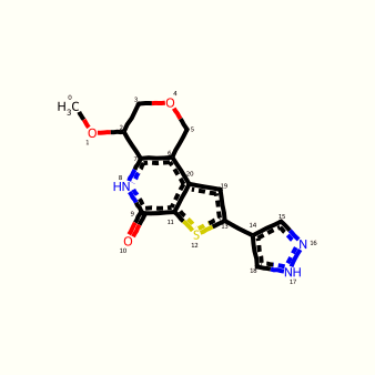 COC1COCc2c1[nH]c(=O)c1sc(-c3cn[nH]c3)cc21